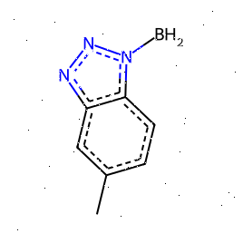 Bn1nnc2cc(C)ccc21